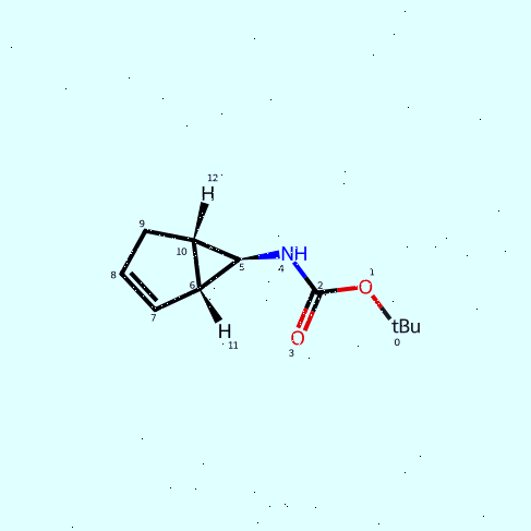 CC(C)(C)OC(=O)N[C@H]1[C@@H]2C=CC[C@@H]21